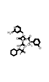 CN(C(=O)[C@@H]1[C@@H](Cc2ccnc(N)c2)C(=O)N1C(=O)N[C@@H](C1CCCCC1)C(F)(F)F)c1cccc(Cl)c1